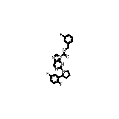 O=C(NCc1cccc(F)c1)n1cnc2cnc(N3CCCC3c3cc(F)ccc3F)nc21